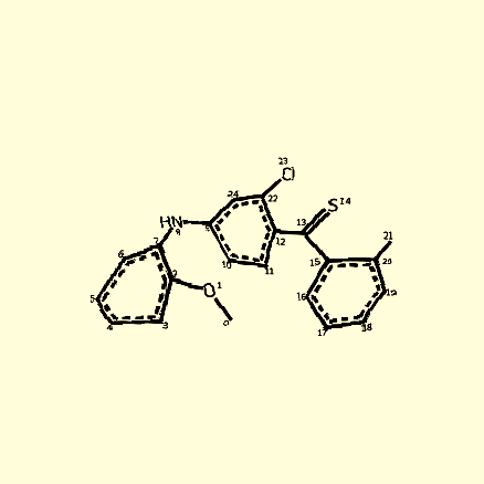 COc1ccccc1Nc1ccc(C(=S)c2ccccc2C)c(Cl)c1